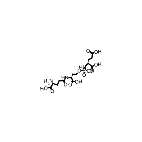 N[C@@H](CCC(=O)N[C@@H](CCOP(=O)(O)N[C@@H](CCC(=O)O)C(=O)O)C(=O)O)C(=O)O